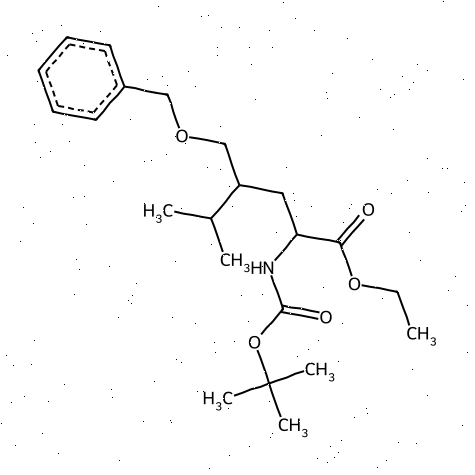 CCOC(=O)C(CC(COCc1ccccc1)C(C)C)NC(=O)OC(C)(C)C